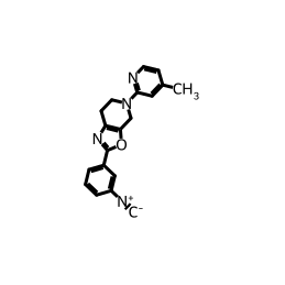 [C-]#[N+]c1cccc(-c2nc3c(o2)CN(c2cc(C)ccn2)CC3)c1